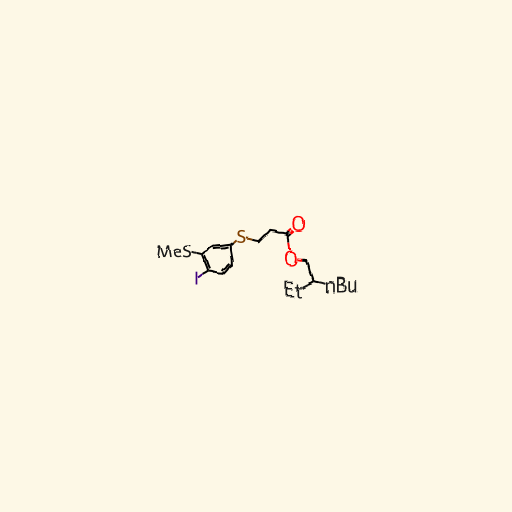 CCCCC(CC)COC(=O)CCSc1ccc(I)c(SC)c1